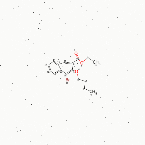 CCCCOc1c(C(=O)OCC)cc2ccccc2c1Br